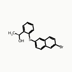 C[C@H](O)c1ccccc1Sc1ccc2cc(Br)ccc2c1